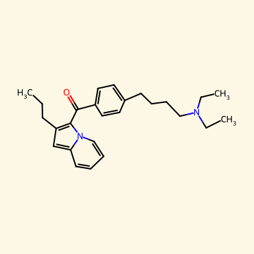 CCCc1cc2ccccn2c1C(=O)c1ccc(CCCCN(CC)CC)cc1